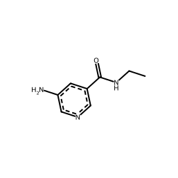 CCNC(=O)c1cncc(N)c1